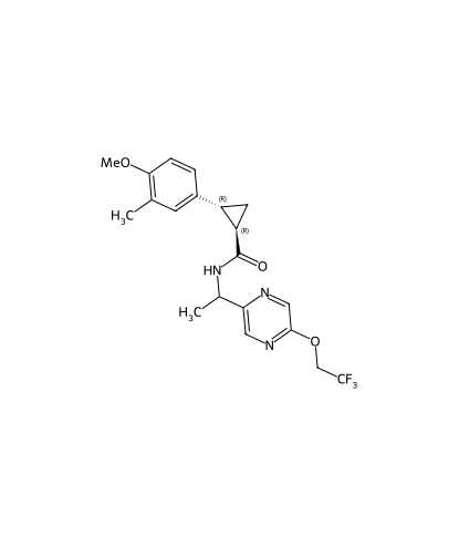 COc1ccc([C@@H]2C[C@H]2C(=O)NC(C)c2cnc(OCC(F)(F)F)cn2)cc1C